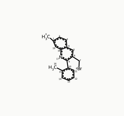 Cc1ccc2cc(CBr)c(-c3ccccc3C)nc2c1